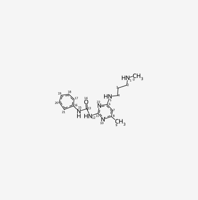 CNCCCNc1cc(C)nc(NC(=O)Nc2ccccc2)n1